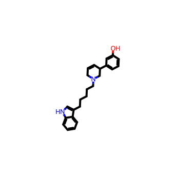 Oc1cccc(C2C=CCN(CCCCCc3c[nH]c4ccccc34)C2)c1